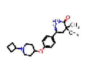 CC1(C)CC(c2ccc(OC3CCN(C4CCC4)CC3)cc2)=NNC1=O